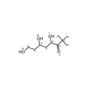 CC(C)(C)C(=O)C(O)CC(O)CCO